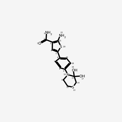 NC(=O)c1cc(-c2ccc(N3CCSCC3(O)O)cc2)sc1N